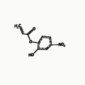 C=CC(=O)Oc1ccc([N+](=O)[O-])cc1O